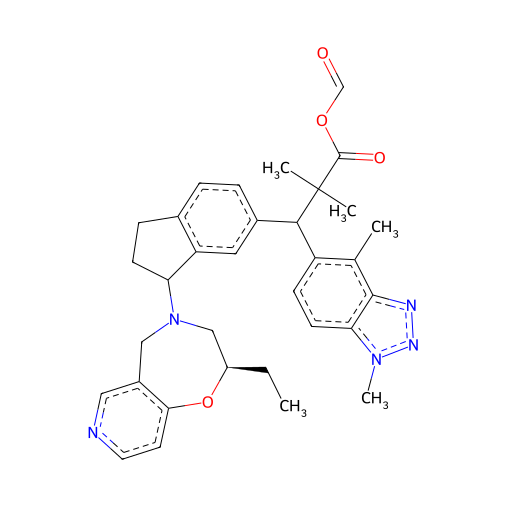 CC[C@@H]1CN(C2CCc3ccc(C(c4ccc5c(nnn5C)c4C)C(C)(C)C(=O)OC=O)cc32)Cc2cnccc2O1